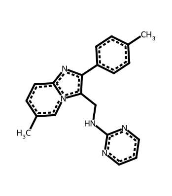 Cc1ccc(-c2nc3ccc(C)cn3c2CNc2ncccn2)cc1